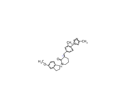 COc1ccc2c(c1)CC[C@H]2N1CCC/C(=C\c2ccc(-n3cnc(C)c3)c(C)c2)C1=O